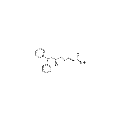 [NH]C(=O)/C=C/C=C/C(=O)OC(c1ccccc1)c1ccccc1